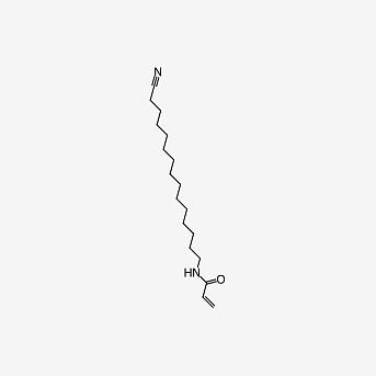 C=CC(=O)NCCCCCCCCCCCCCCC#N